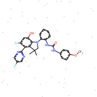 CC1(C)CN(c2ccccc2NC(=O)Nc2ccc(OC(F)(F)F)cc2)c2c(O)cc(F)c(-c3ncc(F)cn3)c21